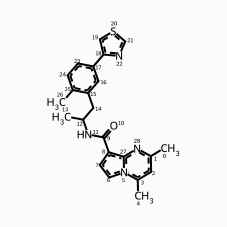 Cc1cc(C)n2ccc(C(=O)NC(C)Cc3cc(-c4cscn4)ccc3C)c2n1